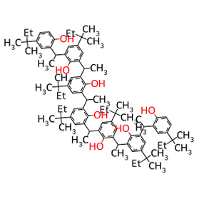 CCC(C)(C)c1ccc(O)c(C(C)c2cc(C(C)(C)CC)cc(C(C)c3cc(C(C)(C)CC)cc(C(C)c4cc(C(C)(C)CC)cc(C(C)c5cc(C(C)(C)CC)cc(C(C)c6cc(C(C)(C)CC)cc(C(C)c7cc(C(C)(C)CC)ccc7O)c6O)c5O)c4O)c3O)c2O)c1